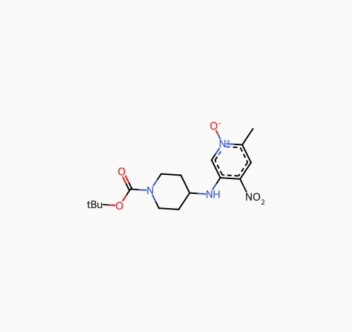 Cc1cc([N+](=O)[O-])c(NC2CCN(C(=O)OC(C)(C)C)CC2)c[n+]1[O-]